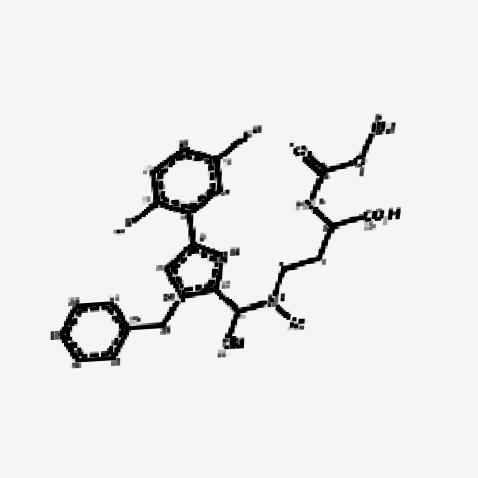 CC(=O)N(CCC(NC(=O)OC(C)(C)C)C(=O)O)C(c1nc(-c2cc(F)ccc2F)cn1Cc1ccccc1)C(C)(C)C